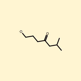 CC(C)CC(=O)CCC[O]